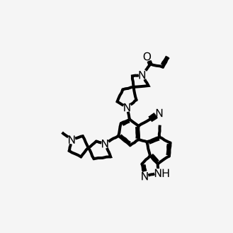 C=CC(=O)N1CC2(CCN(c3cc(N4CCC5(CCN(C)C5)C4)cc(-c4c(C)ccc5[nH]ncc45)c3C#N)C2)C1